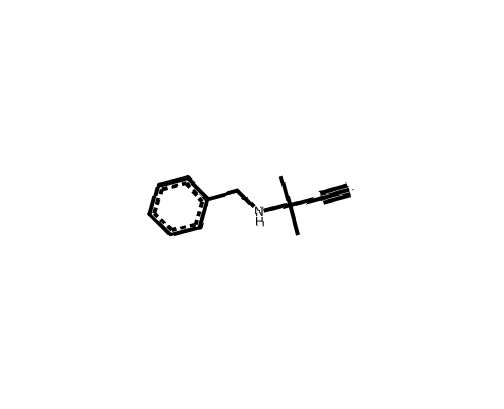 [C]#CC(C)(C)NCc1ccccc1